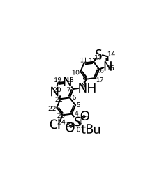 CC(C)(C)S(=O)(=O)c1cc2c(Nc3ccc4scnc4c3)ncnc2cc1Cl